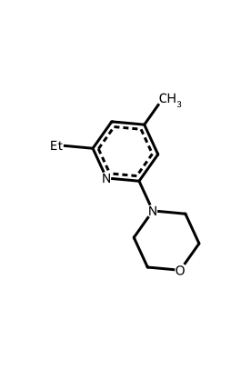 CCc1cc(C)cc(N2CCOCC2)n1